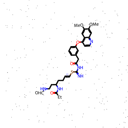 CCC(=O)NC(CC/C=C/SC(=N)NC(=O)Cc1cccc(Oc2ccnc3cc(OC)c(OC)cc23)c1)CCNC=O